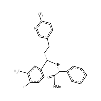 CNC(=O)[C@H](N[C@@H](CCc1ccc(C(F)(F)F)nc1)c1ccc(F)c(C)c1)c1ccccc1